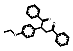 CCOc1ccc(C(CC(=O)c2ccccc2)C(=O)c2ccccc2)cc1